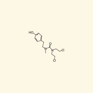 CN(CCc1ccc(O)cc1)C(=O)N(CCCl)CCCl